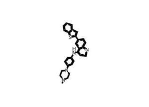 CN1CCN(c2ccc(Nc3ccnc4ccc(-c5cc6ccccc6s5)cc34)cc2)CC1